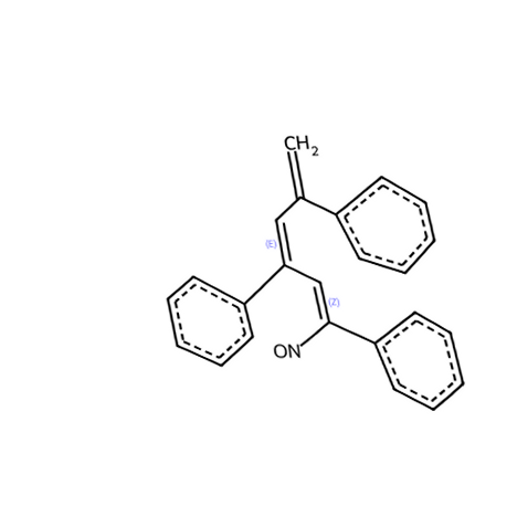 C=C(/C=C(\C=C(/N=O)c1ccccc1)c1ccccc1)c1ccccc1